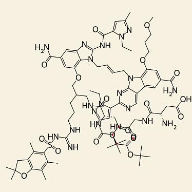 CCn1nc(C)cc1C(=O)Nc1nc2cc(C(N)=O)cc(OCC(CCCNC(=N)NS(=O)(=O)c3c(C)c(C)c4c(c3C)CC(C)(C)O4)CNC(=O)[C@H](CC(=O)OC(C)(C)C)NC(=O)[C@H](CC(=O)OC(C)(C)C)NC(=O)CNC(=O)[C@@H](N)CC(=O)O)c2n1C/C=C/Cn1c2nc(-c3cc(C)nn3CC)ncc2c2cc(C(N)=O)cc(OCCCOC)c21